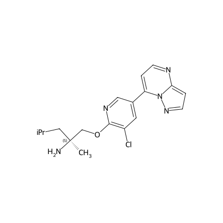 CC(C)C[C@](C)(N)COc1ncc(-c2ccnc3ccnn23)cc1Cl